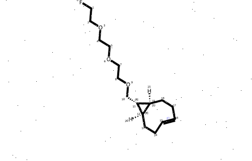 FCCOCCOCCOC[C@H]1[C@@H]2CC/C=C/CC[C@@H]21